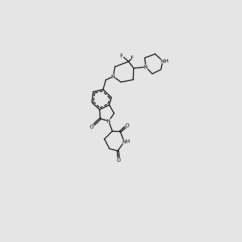 O=C1CCC(N2Cc3cc(CN4CCC(N5CCNCC5)C(F)(F)C4)ccc3C2=O)C(=O)N1